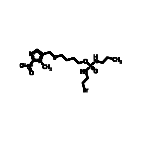 CCCNP(=O)(NCCBr)OCCCCSCc1cnc([N+](=O)[O-])n1C